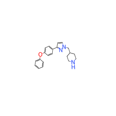 c1ccc(Oc2ccc(-c3ccn(CC4CCNCC4)n3)cc2)cc1